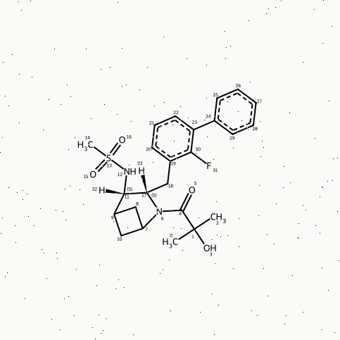 CC(C)(O)C(=O)N1C2CC(C2)[C@H](NS(C)(=O)=O)[C@@H]1Cc1cccc(-c2ccccc2)c1F